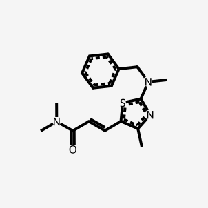 Cc1nc(N(C)Cc2ccccc2)sc1C=CC(=O)N(C)C